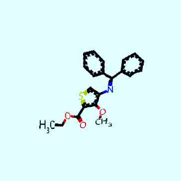 CCOC(=O)c1scc(N=C(c2ccccc2)c2ccccc2)c1OC